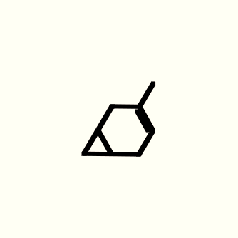 CC1=CCC2CC2C1